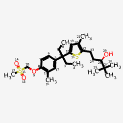 CCC(CC)(c1ccc(OCS(C)(=O)=O)c(C)c1)c1cc(C)c(CC[C@@H](O)C(C)(C)C)s1